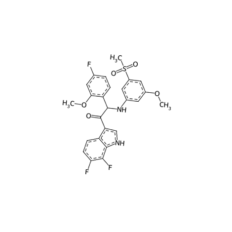 COc1cc(NC(C(=O)c2c[nH]c3c(F)c(F)ccc23)c2ccc(F)cc2OC)cc(S(C)(=O)=O)c1